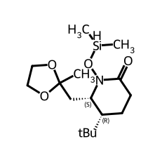 C[SiH](C)ON1C(=O)CC[C@H](C(C)(C)C)[C@@H]1CC1(C)OCCO1